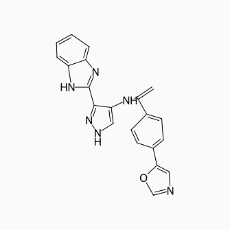 C=C(Nc1c[nH]nc1-c1nc2ccccc2[nH]1)c1ccc(-c2cnco2)cc1